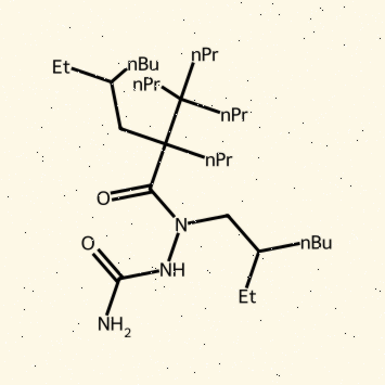 CCCCC(CC)CN(NC(N)=O)C(=O)C(CCC)(CC(CC)CCCC)C(CCC)(CCC)CCC